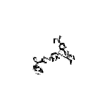 Cc1nnn(-c2ccc(C(F)F)cc2)c1COc1ccc(N2CC(C(=O)N3CC4CC3CO4)C2)nn1